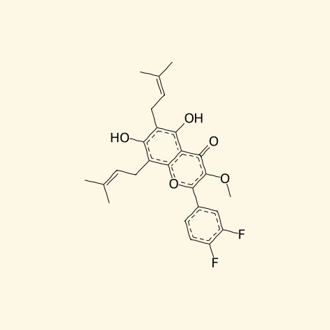 COc1c(-c2ccc(F)c(F)c2)oc2c(CC=C(C)C)c(O)c(CC=C(C)C)c(O)c2c1=O